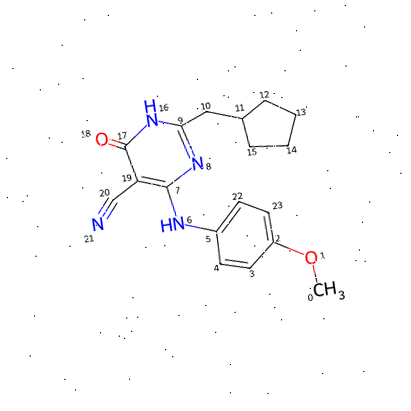 COc1ccc(Nc2nc(CC3CCCC3)[nH]c(=O)c2C#N)cc1